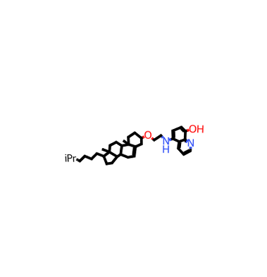 CC(C)CCCCC1CCC2C3CC=C4CC(OCCNc5ccc(O)c6ncccc56)CCC4(C)C3CCC12C